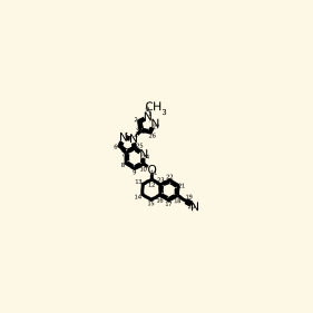 Cn1cc(-n2ncc3ccc(OC4CCCc5cc(C#N)ccc54)nc32)cn1